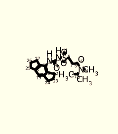 CC(C)N(C)C(=O)CCS(=O)(=O)NC(=O)Nc1c2c(cc3c1CCC3)CCC2